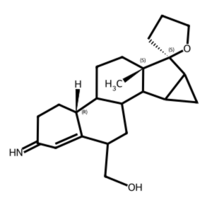 C[C@]12CCC3C(CC(CO)C4=CC(=N)CC[C@@H]43)C1C1CC1[C@@]21CCCO1